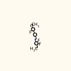 CCc1ccc(/C=C/c2ccc(-c3ccc(OC)cc3F)cc2)c(F)c1F